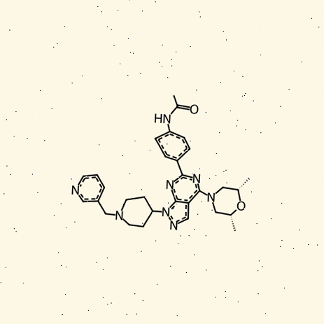 CC(=O)Nc1ccc(-c2nc(N3C[C@@H](C)O[C@@H](C)C3)c3cnn(C4CCN(Cc5cccnc5)CC4)c3n2)cc1